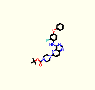 CC(C)(C)OC(=O)N1CCN(c2ccc3ncnc(Nc4ccc(Oc5ccccc5)cc4F)c3n2)CC1